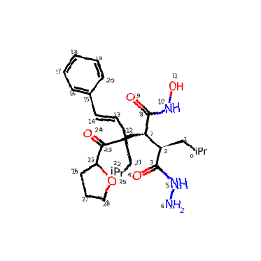 CC(C)C[C@@H](C(=O)NN)[C@H](C(=O)NO)C(/C=C/c1ccccc1)(CC(C)C)C(=O)C1CCCO1